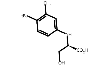 Cc1cc(N[C@H](CO)C(=O)O)ccc1C(C)(C)C